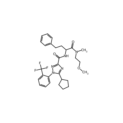 COCCN(C)C(=O)C(CCc1ccccc1)NC(=O)c1nc(C2CCCC2)n(-c2ccccc2C(F)(F)F)n1